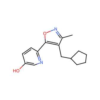 Cc1noc(-c2ccc(O)cn2)c1C[C]1CCCC1